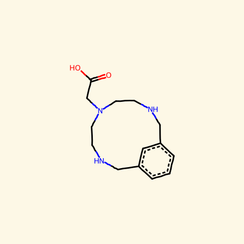 O=C(O)CN1CCNCc2cccc(c2)CNCC1